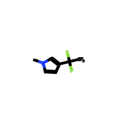 Cn1ccc(C(F)(F)C(F)(F)F)c1